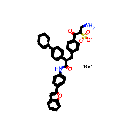 NCC(C(=O)c1ccc(CC(C(=O)Nc2ccc(-c3cc4ccccc4o3)cc2)c2ccc(C3CCCCC3)cc2)cc1)S(=O)(=O)[O-].[Na+]